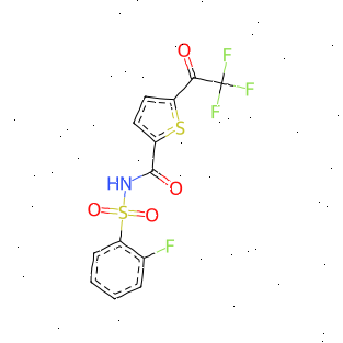 O=C(NS(=O)(=O)c1ccccc1F)c1ccc(C(=O)C(F)(F)F)s1